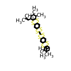 C=C1C2CC1(C)C(C)C1=C2Sc2cc3c(cc2S1)S/C(=C1\Sc2cc4c(cc2S1)SC1=C(S4)C(C=C(C)C)CC(C)C1C)S3